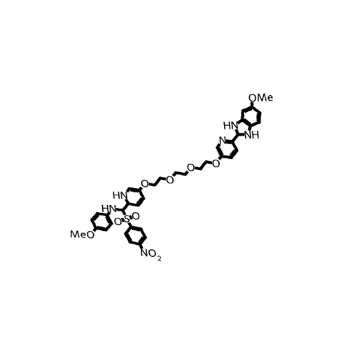 COc1ccc(NC(C2C=CC(OCCOCCOCCOc3ccc(C4Nc5ccc(OC)cc5N4)nc3)=CN2)S(=O)(=O)c2ccc([N+](=O)[O-])cc2)cc1